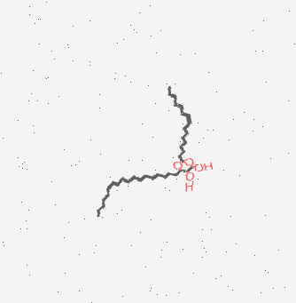 [CH2]CCCC/C=C\CCCCCCCCCCCC(OC(=O)CCCCCCC/C=C\CCCCCC)C(O)CO